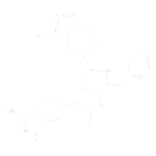 Nc1n[nH]c2cc(-c3nc(C(Cc4ccccc4)NC(=O)c4ccc5[nH]nc(N)c5c4)[nH]c3Cl)ccc12